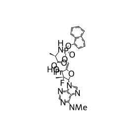 CNc1ncnc2c1ncn2[C@@H]1O/C(=C/OP(=O)(N[C@H](C)C(=O)OC(C)C)Oc2cccc3ccccc23)[C@@H](O)[C@@]1(C)F